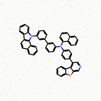 c1cc(-c2cccc(-n3c4ccccc4c4ccc5ccccc5c43)c2)cc(N(c2ccc(-c3cncc4oc5ccccc5c34)cc2)c2cccc3ccccc23)c1